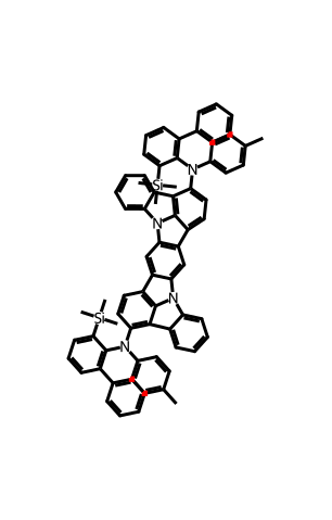 Cc1ccc(N(c2c(-c3ccccc3)cccc2[Si](C)(C)C)c2ccc3c4cc5c(cc4n4c6ccccc6c2c34)c2ccc(N(c3ccc(C)cc3)c3c(-c4ccccc4)cccc3[Si](C)(C)C)c3c4ccccc4n5c23)cc1